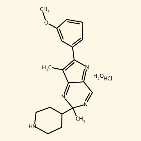 COc1cccc(C2=C(C)C3=NC(C)(C4CCNCC4)N=CC3=N2)c1.Cl.O